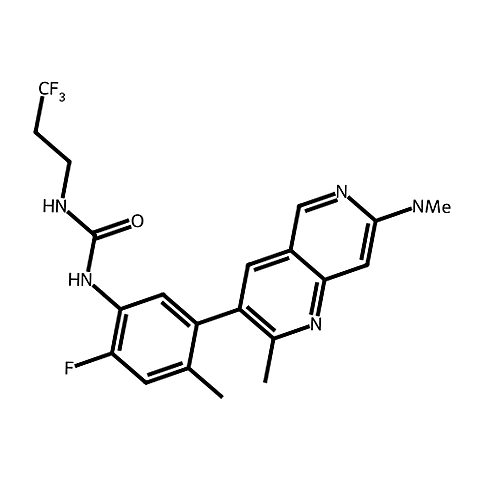 CNc1cc2nc(C)c(-c3cc(NC(=O)NCCC(F)(F)F)c(F)cc3C)cc2cn1